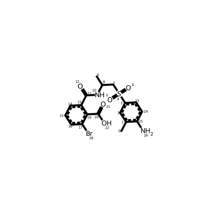 Cc1cc(S(=O)(=O)CC(C)NC(=O)c2cccc(Br)c2C(=O)O)ccc1N